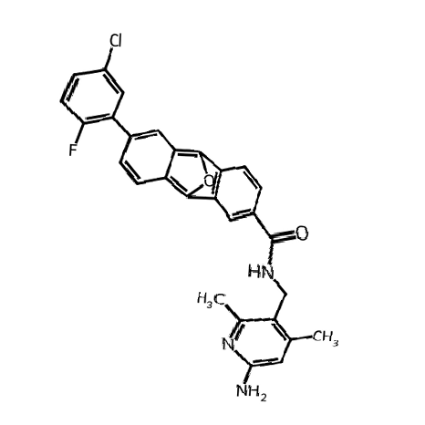 Cc1cc(N)nc(C)c1CNC(=O)c1ccc2c(c1)c1oc2c2cc(-c3cc(Cl)ccc3F)ccc21